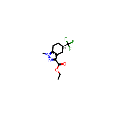 CCOC(=O)c1nn(C)c2c1C[C@H](C(F)(F)F)CC2